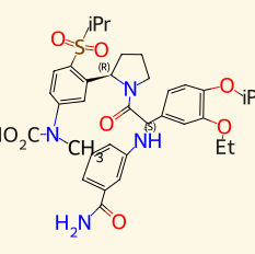 CCOc1cc([C@H](Nc2cccc(C(N)=O)c2)C(=O)N2CCC[C@@H]2c2cc(N(C)C(=O)O)ccc2S(=O)(=O)C(C)C)ccc1OC(C)C